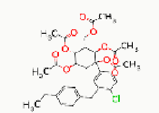 CCc1ccc(Cc2cc([C@]3(OC(C)=O)C[C@@H](OC(C)=O)[C@H](OC(C)=O)[C@H](COC(C)=O)[C@H]3OC(C)=O)ccc2Cl)cc1